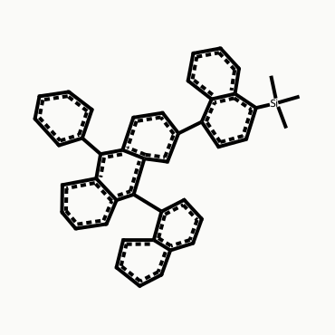 C[Si](C)(C)c1ccc(-c2ccc3c(-c4ccccc4)c4ccccc4c(-c4cccc5ccccc45)c3c2)c2ccccc12